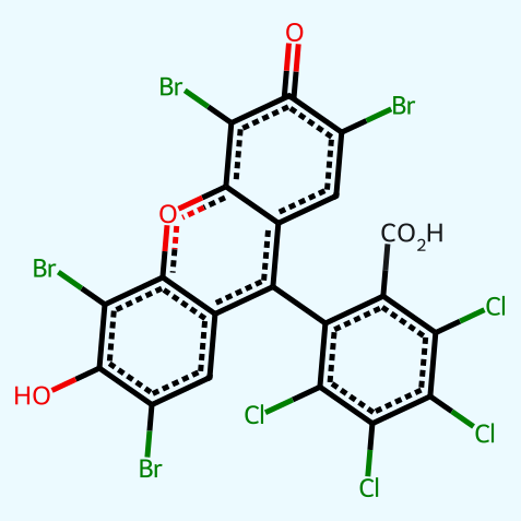 O=C(O)c1c(Cl)c(Cl)c(Cl)c(Cl)c1-c1c2cc(Br)c(=O)c(Br)c-2oc2c(Br)c(O)c(Br)cc12